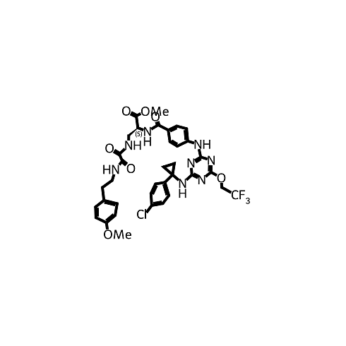 COC(=O)[C@H](CNC(=O)C(=O)NCCc1ccc(OC)cc1)NC(=O)c1ccc(Nc2nc(NC3(c4ccc(Cl)cc4)CC3)nc(OCC(F)(F)F)n2)cc1